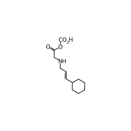 O=C(O)OC(=O)CNCC=CC1CCCCC1